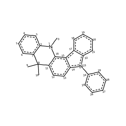 CN1c2ccccc2C(C)(C)c2ccc3c(c21)c1ccccc1n3-c1ccccc1